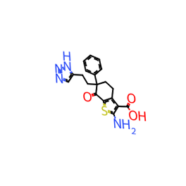 Nc1sc2c(c1C(=O)O)CCC(CCc1cnn[nH]1)(c1ccccc1)C2=O